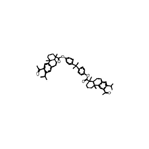 CC(=O)c1cc2c(cc1C(C)C)CCC1C(C)(C(=O)Oc3ccc(C(C)(C)c4ccc(OC(=O)C5(C)CCCC6(C)c7cc(C(C)=O)c(C(C)C)cc7CCC56)cc4)cc3)CCCC21C